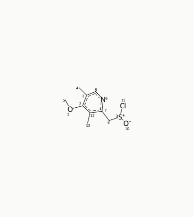 COc1c(C)cnc(C[S+]([O-])Cl)c1C